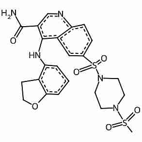 CS(=O)(=O)N1CCN(S(=O)(=O)c2ccc3ncc(C(N)=O)c(Nc4cccc5c4CCO5)c3c2)CC1